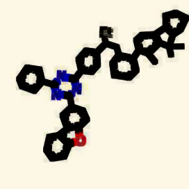 CCC(Cc1ccccc1-c1ccc2c(c1C)C(C)(C)c1ccccc1-2)c1ccc(-c2nc(-c3ccccc3)nc(-c3ccc4oc5ccccc5c4c3)n2)cc1